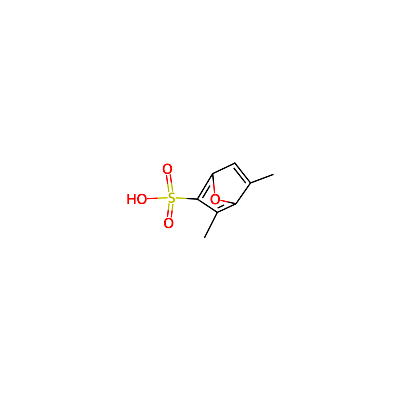 Cc1cc2oc1c(C)c2S(=O)(=O)O